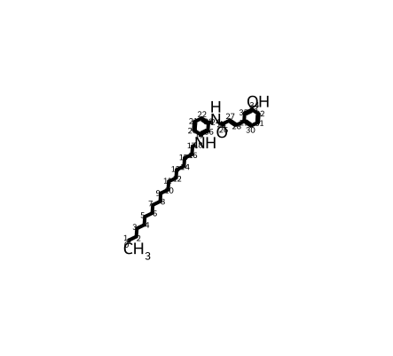 CCCCCCCCCCCCCCCCCCNc1cccc(NC(=O)C=Cc2cccc(O)c2)c1